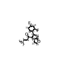 CN(C)C=CC(=O)c1c(-c2ccc(F)cc2F)nc2occn12